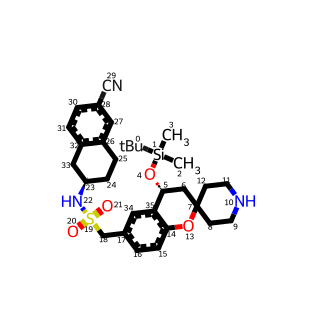 CC(C)(C)[Si](C)(C)O[C@@H]1CC2(CCNCC2)Oc2ccc(CS(=O)(=O)N[C@@H]3CCc4cc(C#N)ccc4C3)cc21